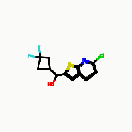 OC(c1cc2ccc(Cl)nc2s1)C1CC(F)(F)C1